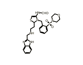 O=[C]NC1=CSC(CCNCc2nc3ccccc3[nH]2)N1Cc1ccccc1S(=O)(=O)N1CCOCC1